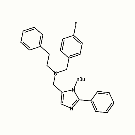 CCCCn1c(CN(CCc2ccccc2)Cc2ccc(F)cc2)cnc1-c1ccccc1